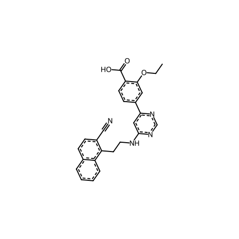 CCOc1cc(-c2cc(NCCc3c(C#N)ccc4ccccc34)ncn2)ccc1C(=O)O